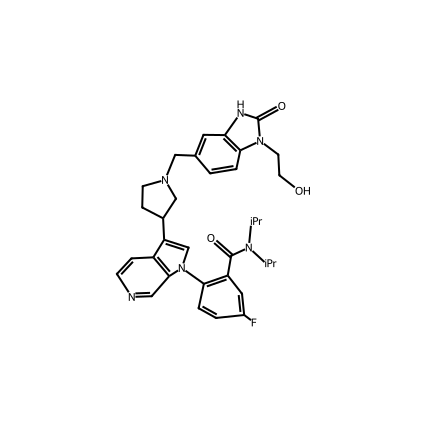 CC(C)N(C(=O)c1cc(F)ccc1-n1cc(C2CCN(Cc3ccc4c(c3)[nH]c(=O)n4CCO)C2)c2ccncc21)C(C)C